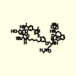 Cc1ncsc1-c1ccc([C@H](C)NC(=O)C2C[C@@H](O)CN2C(=O)[C@@H](NC(=O)CCCCCc2cc(OC[C@H](CCC(N)=O)NC(=O)[C@@H]3Cc4cccc5c4N3C(=O)[C@@H](NC(=O)OC(C)(C)C)CC5)ccc2F)C(C)(C)C)cc1